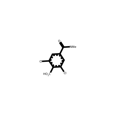 CNC(=O)c1cc(Cl)c(C(=O)O)c(Cl)c1